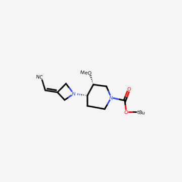 CO[C@@H]1CN(C(=O)OC(C)(C)C)CC[C@@H]1N1CC(=CC#N)C1